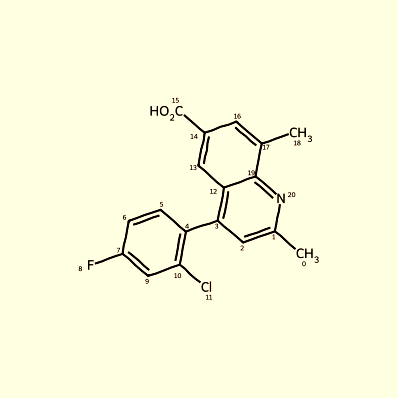 Cc1cc(-c2ccc(F)cc2Cl)c2cc(C(=O)O)cc(C)c2n1